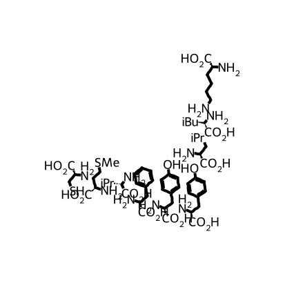 CC(C)C[C@H](N)C(=O)O.CC(C)[C@H](N)C(=O)O.CC[C@H](C)[C@H](N)C(=O)O.CSCC[C@H](N)C(=O)O.NCCCC[C@H](N)C(=O)O.N[C@@H](CS)C(=O)O.N[C@@H](Cc1ccc(O)cc1)C(=O)O.N[C@@H](Cc1ccc(O)cc1)C(=O)O.N[C@@H](Cc1ccccc1)C(=O)O